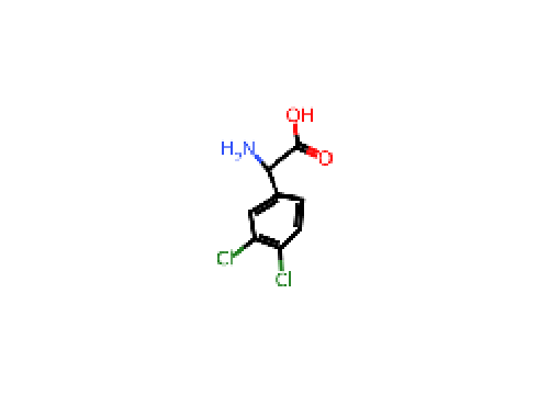 NC(C(=O)O)c1ccc(Cl)c(Cl)c1